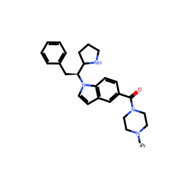 CC(C)N1CCN(C(=O)c2ccc3c(ccn3[C@@H](Cc3ccccc3)C3CCCN3)c2)CC1